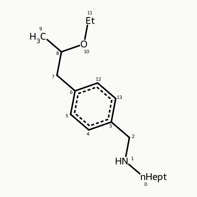 CCCCCCCNCc1ccc(CC(C)OCC)cc1